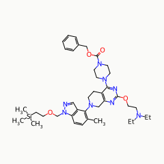 CCN(CC)CCOc1nc2c(c(N3CCN(C(=O)OCc4ccccc4)CC3)n1)CCN(c1c(C)ccc3c1cnn3COCC[Si](C)(C)C)C2